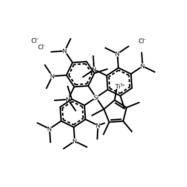 CC1=C(C)C(C)([Si](c2c(C)cc(N(C)C)c(N(C)C)c2N(C)C)(c2c(C)cc(N(C)C)c(N(C)C)c2N(C)C)c2c(C)cc(N(C)C)c(N(C)C)c2N(C)C)[C]([Ti+3])=C1C.[Cl-].[Cl-].[Cl-]